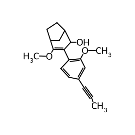 CC#Cc1ccc(C2=C(OC)C3CCC(C3)C2O)c(OC)c1